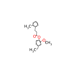 CCc1ccc(OC(=O)CCc2ccccc2C)c(OC)c1